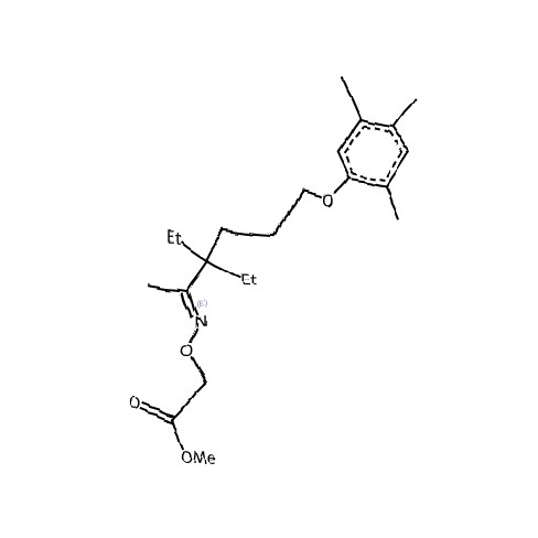 CCC(CC)(CCCOc1cc(C)c(C)cc1C)/C(C)=N/OCC(=O)OC